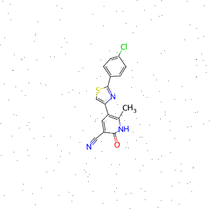 Cc1[nH]c(=O)c(C#N)cc1-c1csc(-c2ccc(Cl)cc2)n1